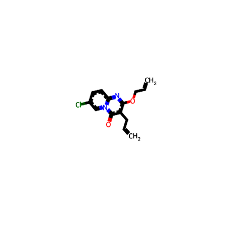 C=CCOc1nc2ccc(Cl)cn2c(=O)c1CC=C